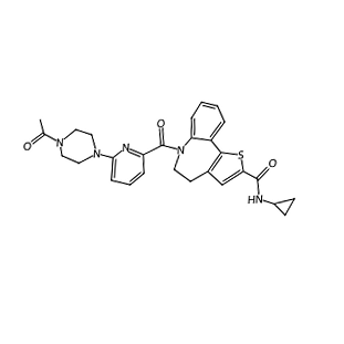 CC(=O)N1CCN(c2cccc(C(=O)N3CCc4cc(C(=O)NC5CC5)sc4-c4ccccc43)n2)CC1